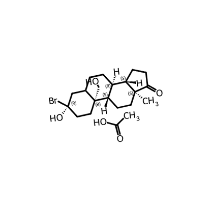 CC(=O)O.C[C@]12CC[C@H]3[C@@H](CCC4C[C@](O)(Br)CC[C@@]43CO)[C@@H]1CCC2=O